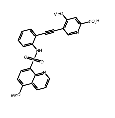 COc1cc(C(=O)O)ncc1C#Cc1ccccc1NS(=O)(=O)c1ccc(OC)c2cccnc12